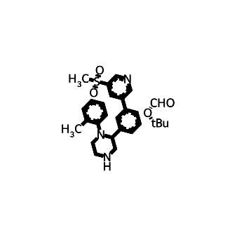 CC(C)(C)OC=O.Cc1ccccc1N1CCNCC1c1cccc(-c2cncc(S(C)(=O)=O)c2)c1